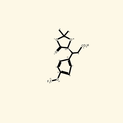 CC1(C)OC(=O)[C@H](C(CC(=O)O)c2ccc(OC(F)(F)F)cc2)O1